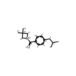 CC(C)Cc1ccc(C(=O)N2CC(C)(C)C2)cc1